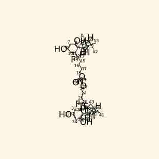 CC1=C[C@@H](c2c(O)cc(O)cc2C(F)(F)CCCCO[N+](=O)OCCCCC(F)(F)c2cc(O)cc(O)c2[C@@H]2C=C(C)[C@@H]3C[C@@H]2C3(C)C)[C@@H]2C[C@@H]1C2(C)C